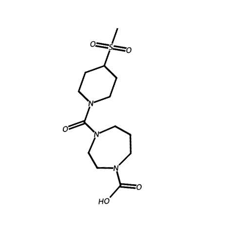 CS(=O)(=O)C1CCN(C(=O)N2CCCN(C(=O)O)CC2)CC1